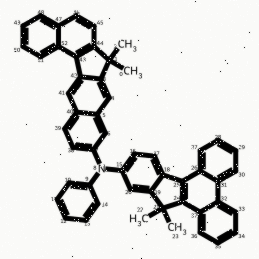 CC1(C)c2cc3cc(N(c4ccccc4)c4ccc5c(c4)C(C)(C)c4c-5c5ccccc5c5ccccc45)ccc3cc2-c2c1ccc1ccccc21